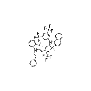 CC1(C)C(/C=C(/C=C2/N(CCc3ccccc3)c3ccccc3C2(C)C)OC(F)(F)F)=[N+](c2cc(C(F)(F)F)cc(C(F)(F)F)c2)c2c1ccc1ccccc21